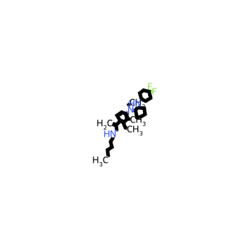 C=C(CNCCCCCC)c1ccc(N(CC)C2CCCCC2NC2CCC(F)(F)CC2)c(C)c1CC